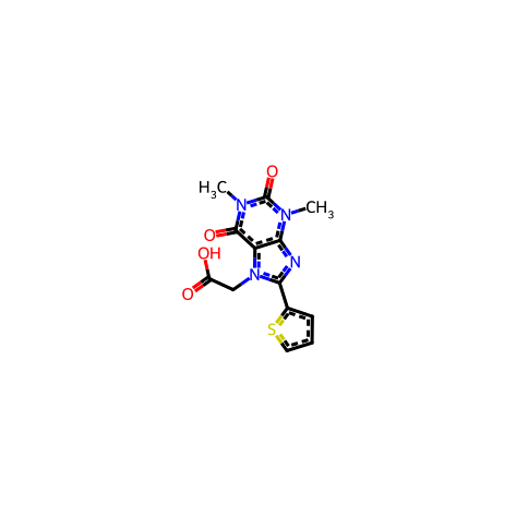 Cn1c(=O)c2c(nc(-c3cccs3)n2CC(=O)O)n(C)c1=O